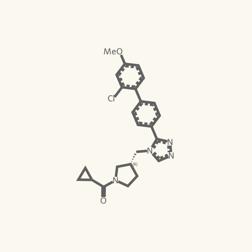 COc1ccc(-c2ccc(-c3nncn3C[C@@H]3CCN(C(=O)C4CC4)C3)cc2)c(Cl)c1